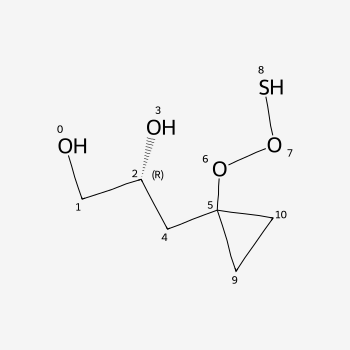 OC[C@H](O)CC1(OOS)CC1